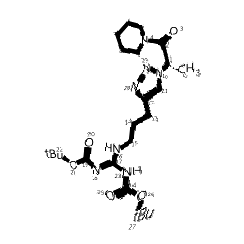 C[C@@H](C(=O)N1CCCCC1)n1cc(CCCN/C(=N\C(=O)OC(C)(C)C)NC(=O)OC(C)(C)C)nn1